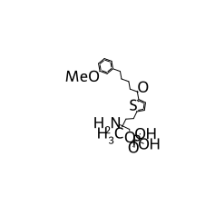 COc1cccc(CCCCC(=O)c2ccc(CCC(C)(N)COP(=O)(O)O)s2)c1